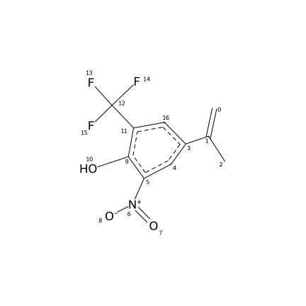 C=C(C)c1cc([N+](=O)[O-])c(O)c(C(F)(F)F)c1